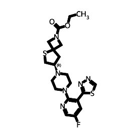 CCOC(=O)N1CC2(C[C@@H](N3CCN(c4ncc(F)cc4-c4nncs4)CC3)CS2)C1